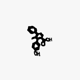 Cc1c(-c2ccccc2)ccc(C(=O)O)c1-c1ccc(O)cc1